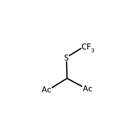 CC(=O)C(SC(F)(F)F)C(C)=O